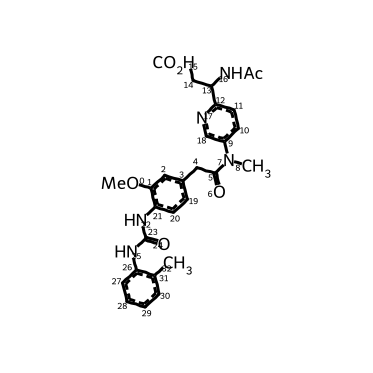 COc1cc(CC(=O)N(C)c2ccc(C(CC(=O)O)NC(C)=O)nc2)ccc1NC(=O)Nc1ccccc1C